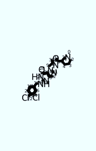 CN1CCCC(c2nc(Cn3ncc4nc(NCc5ccc(Cl)c(Cl)c5)[nH]c(=O)c43)co2)C1